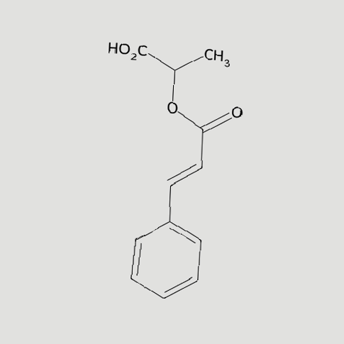 CC(OC(=O)C=Cc1ccccc1)C(=O)O